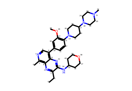 CCc1nc2c(C)ncc(-c3ccc(N4CCC(N5CCN(C)CC5)CC4)c(OC)c3)c2nc1NC1CCOCC1